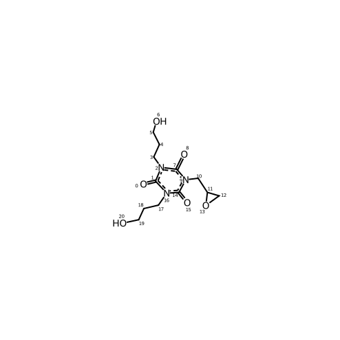 O=c1n(CCCO)c(=O)n(CC2CO2)c(=O)n1CCCO